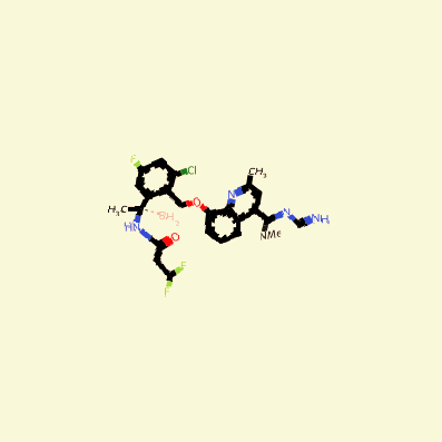 B[C@@](C)(NC(=O)CC(F)F)c1cc(F)cc(Cl)c1COc1cccc2c(/C(=N/C=N)NC)cc(C)nc12